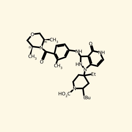 CCC1(N2NC(Nc3ccc(C(=O)N4[C@H](C)COC[C@@H]4C)c(C)c3)c3c2cc[nH]c3=O)CCN(C(=O)O)C(C(C)(C)C)C1